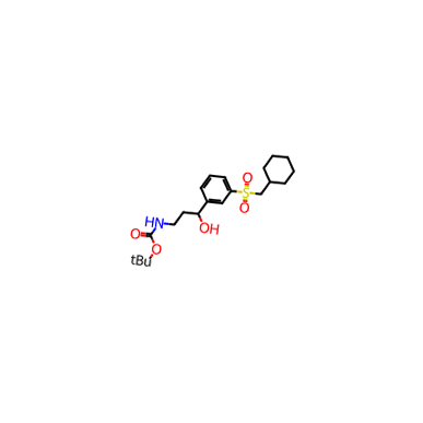 CC(C)(C)OC(=O)NCCC(O)c1cccc(S(=O)(=O)CC2CCCCC2)c1